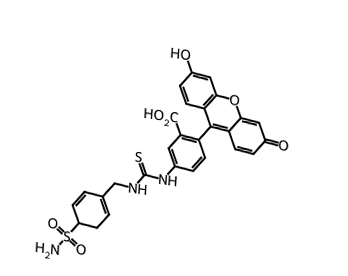 NS(=O)(=O)C1C=CC(CNC(=S)Nc2ccc(-c3c4ccc(=O)cc-4oc4cc(O)ccc34)c(C(=O)O)c2)=CC1